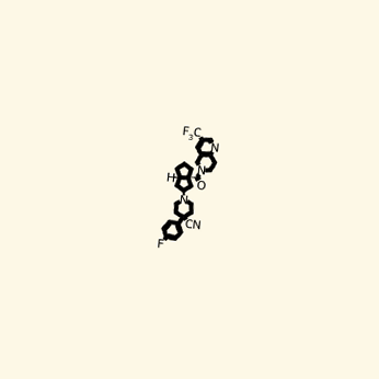 N#CC1(c2ccc(F)cc2)CCN([C@H]2C[C@H]3CCC[C@@]3(C(=O)N3CCc4ncc(C(F)(F)F)cc4C3)C2)CC1